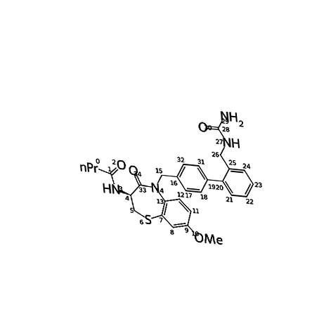 CCCC(=O)N[C@@H]1CSc2cc(OC)ccc2N(Cc2ccc(-c3ccccc3CNC(N)=O)cc2)C1=O